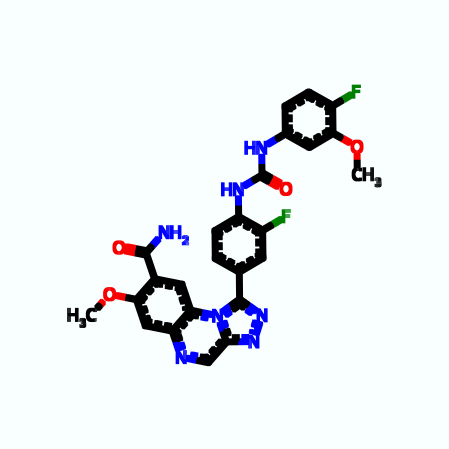 COc1cc(NC(=O)Nc2ccc(-c3nnc4cnc5cc(OC)c(C(N)=O)cc5n34)cc2F)ccc1F